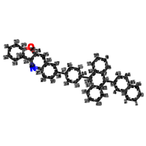 c1ccc2cc(-c3c4ccccc4c(-c4ccc(-c5ccc6nc7c(cc6c5)oc5ccccc57)cc4)c4ccccc34)ccc2c1